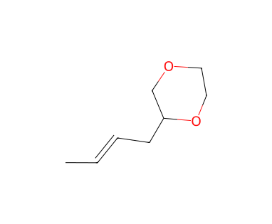 CC=CCC1COCCO1